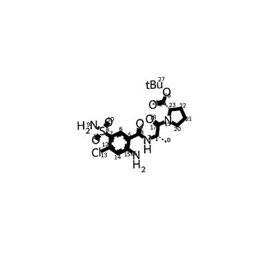 C[C@H](NC(=O)c1cc(S(N)(=O)=O)c(Cl)cc1N)C(=O)N1CCC[C@H]1C(=O)OC(C)(C)C